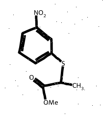 COC(=O)C(C)Sc1cccc([N+](=O)[O-])c1